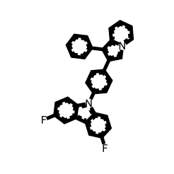 Fc1ccc2c(c1)c1cc(F)ccc1n2-c1ccc(-c2cn3ccccc3c2-c2ccccc2)cc1